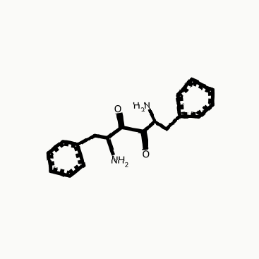 NC(Cc1ccccc1)C(=O)C(=O)C(N)Cc1ccccc1